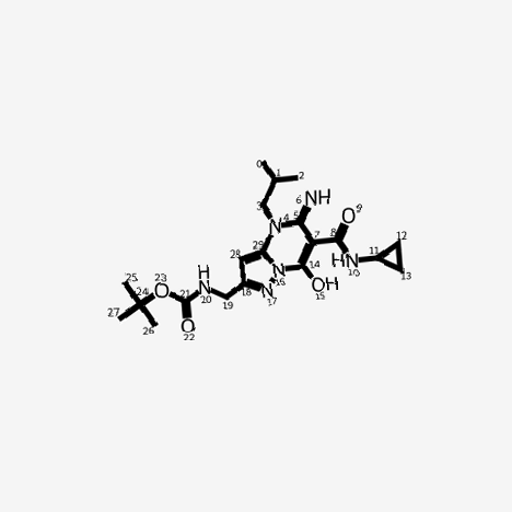 CC(C)Cn1c(=N)c(C(=O)NC2CC2)c(O)n2nc(CNC(=O)OC(C)(C)C)cc12